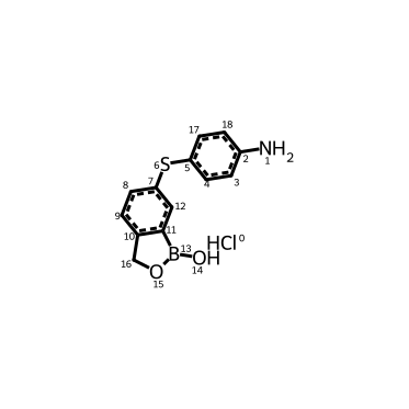 Cl.Nc1ccc(Sc2ccc3c(c2)B(O)OC3)cc1